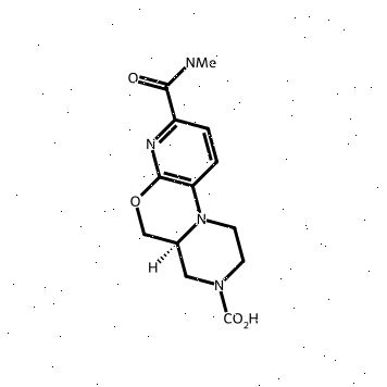 CNC(=O)c1ccc2c(n1)OC[C@@H]1CN(C(=O)O)CCN21